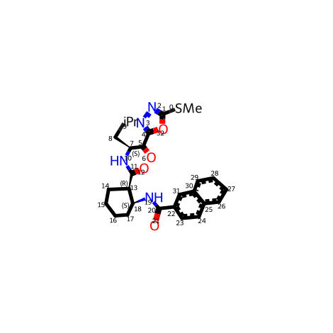 CSc1nnc(C(=O)[C@H](CC(C)C)NC(=O)[C@@H]2CCCC[C@@H]2NC(=O)c2ccc3ccccc3c2)o1